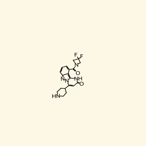 O=C(c1cccc2nn3c(C4CCNCC4)cc(=O)[nH]c3c12)N1CC(F)(F)C1